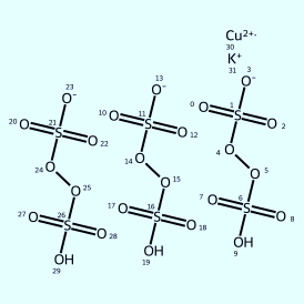 O=S(=O)([O-])OOS(=O)(=O)O.O=S(=O)([O-])OOS(=O)(=O)O.O=S(=O)([O-])OOS(=O)(=O)O.[Cu+2].[K+]